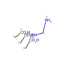 CC(=O)O.CC(=O)O.CC(=O)O.NCN